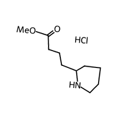 COC(=O)CCCC1CCCCN1.Cl